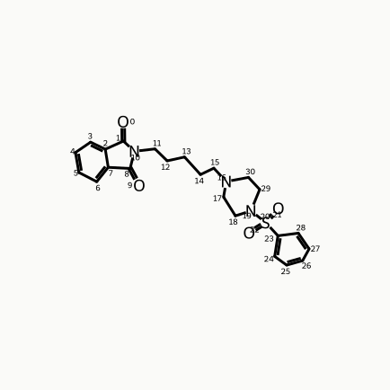 O=C1c2ccccc2C(=O)N1CCCCCN1CCN(S(=O)(=O)c2ccccc2)CC1